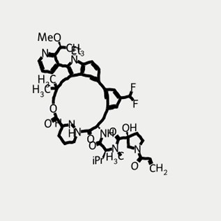 C=CC(=O)N1CC[C@@](O)(C(=O)N(C)[C@H](C(=O)N[C@H]2Cc3cc(cc(C(F)F)c3)-c3ccc4c(c3)c(c(-c3cccnc3[C@H](C)OC)n4CC)CC(C)(C)COC(=O)[C@@H]3CCCN(N3)C2=O)C(C)C)C1